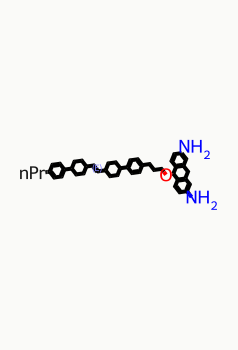 CCCc1ccc(C2CCC(/C=C/C3CCC(c4ccc(CCCOC5c6ccc(N)cc6Cc6cc(N)ccc65)cc4)CC3)CC2)cc1